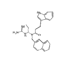 CCC(NC(=N)N)N(Cc1ccc2ccccc2c1)C(=O)CCc1c[nH]c2ccccc12